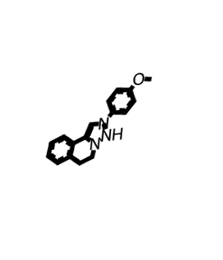 COc1ccc(N2C=C3c4ccccc4CCN3N2)cc1